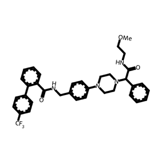 COCCNC(=O)C(c1ccccc1)N1CCN(c2ccc(CNC(=O)c3ccccc3-c3ccc(C(F)(F)F)cc3)cc2)CC1